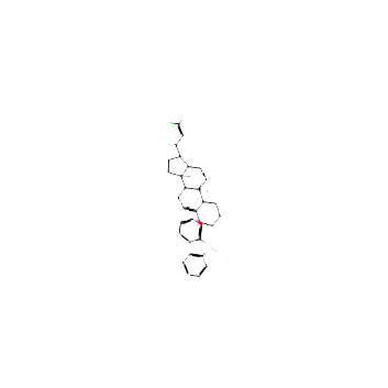 CC(C)(C)[Si](O[C@H]1CC[C@@]2(C)C(=CC[C@@H]3[C@@H]2CC[C@@]2(C)[C@H]3CC[C@@]2(O)[C@@H](Br)C=C(Br)Br)C1)(c1ccccc1)c1ccccc1